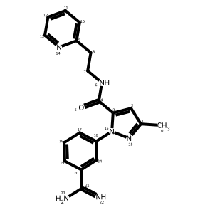 Cc1cc(C(=O)NCCc2ccccn2)n(-c2cccc(C(=N)N)c2)n1